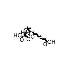 CC1(C)S[C@@H]2[C@H](C(=O)O)C(=O)N2[C@H]1CC(=O)CCSCCC(=O)O